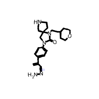 C=C(/C=N\N)c1ccc(N2CC3(CCNCC3)N(CC3CCOCC3)C2=O)cc1